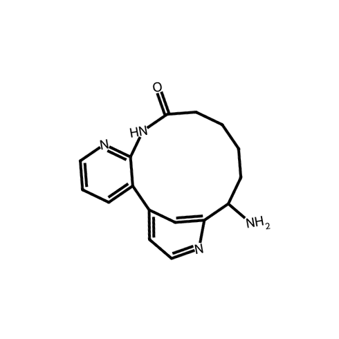 NC1CCCCC(=O)Nc2ncccc2-c2ccnc1c2